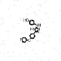 Oc1ccc(Nc2nnc(-c3ccc(Oc4ccncc4)cc3)[nH]2)cc1